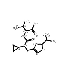 CC(C)C1NC(CN(C(=O)N[C@H](C(=O)O)C(C)C)C2CC2)=CS1